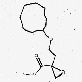 COC(=O)C1(CCOC2CCCCCCC2)CO1